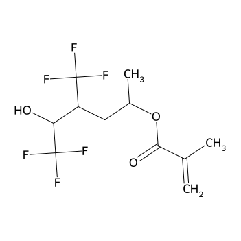 C=C(C)C(=O)OC(C)CC(C(O)C(F)(F)F)C(F)(F)F